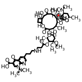 CO[C@]1(C)C[C@@H](C)C(=O)[C@@H](O)[C@@]2(O)CC[C@H]2OC(=O)[C@H](C)[C@@H](O[C@H]2C[C@@](C)(OC)[C@@H](OC(=O)CCNCCCc3cnc4c(c3)c(=O)c(C(=O)O)cn4N(C)C)[C@H](C)O2)[C@H](C)[C@H]1O[C@@H]1O[C@H](C)C[C@H](N(C)C)[C@H]1O